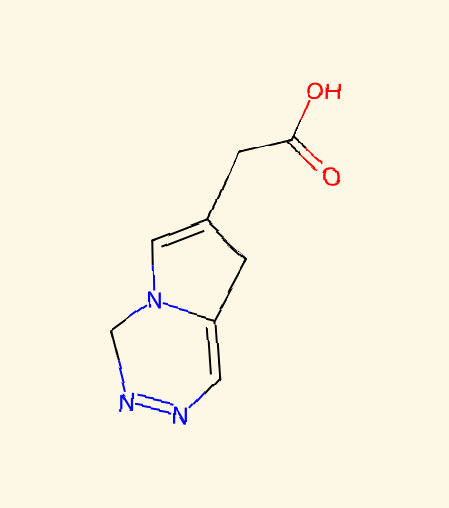 O=C(O)CC1=CN2CN=NC=C2C1